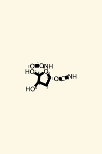 N=C=O.N=C=O.OC1CCOC1O